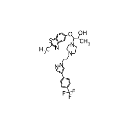 Cc1nc2cc(OC([C@@H](C)O)N3CCN(CCn4cc(-c5ccc(C(F)(F)F)cc5)cn4)CC3)ccc2s1